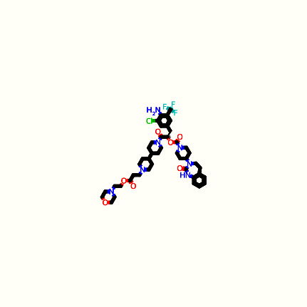 Nc1c(Cl)cc(C[C@@H](OC(=O)N2CCC(N3CCc4ccccc4NC3=O)CC2)C(=O)N2CCC(C3CCN(CCC(=O)OCCN4CCOCC4)CC3)CC2)cc1C(F)(F)F